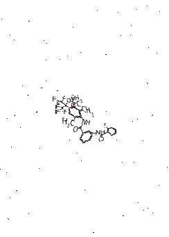 Cc1cc(C(OS(C)(=O)=O)(C(F)(F)F)C(F)(F)F)cc(C)c1NC(=O)c1cccc(NC(=O)c2ccccc2F)c1